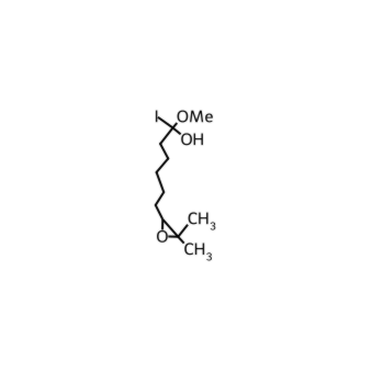 COC(O)(I)CCCCCC1OC1(C)C